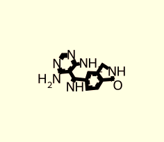 N=C(c1ccc2c(c1)CNC2=O)c1c(N)ncnc1N